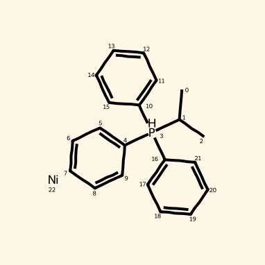 CC(C)[PH](c1ccccc1)(c1ccccc1)c1ccccc1.[Ni]